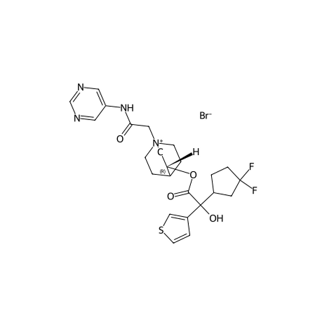 O=C(C[N+]12CCC(CC1)[C@@H](OC(=O)C(O)(c1ccsc1)C1CCC(F)(F)C1)C2)Nc1cncnc1.[Br-]